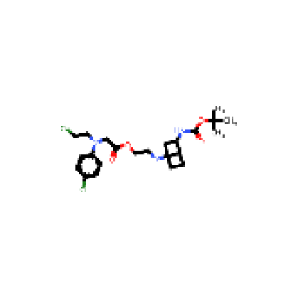 CC(C)(C)OC(=O)NC1CC2(NCCOC(=O)CN(CCCl)c3ccc(Cl)cc3)CCC12